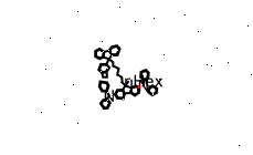 CCCCCCC1(CCCCCCC2(c3ccc4c(c3)CC4)c3ccccc3-c3ccccc32)c2cc(N(c3ccccc3)c3ccccc3)ccc2-c2ccc(N(c3ccccc3)c3ccccc3)cc21